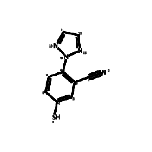 N#Cc1cc(S)ccc1-n1nccn1